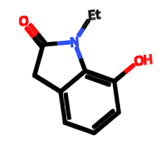 CCN1C(=O)Cc2cccc(O)c21